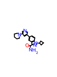 NC(=O)c1nn(C2CCC2)c2ccc(-c3cncc(N4CCCCC4)c3)cc12